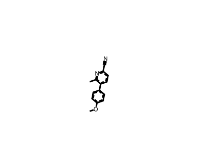 COc1ccc(-c2ccc(C#N)nc2C)cc1